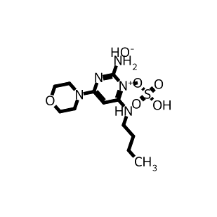 CCCCNc1cc(N2CCOCC2)nc(N)[n+]1OS(=O)(=O)O.[OH-]